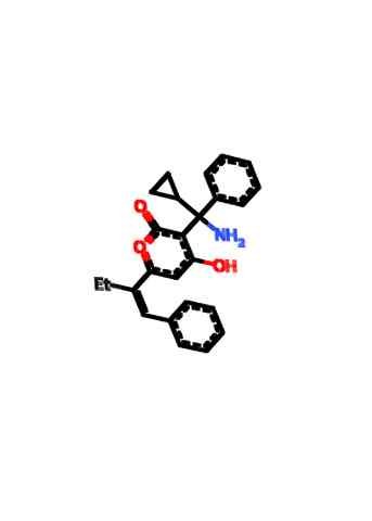 CCC(=Cc1ccccc1)c1cc(O)c(C(N)(c2ccccc2)C2CC2)c(=O)o1